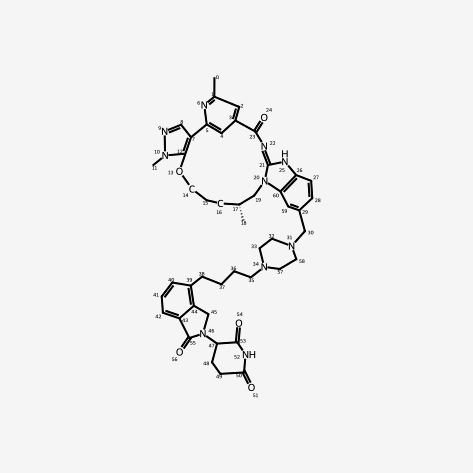 Cc1cc2cc(n1)-c1cnn(C)c1OCCC[C@@H](C)CN1/C(=N\C2=O)Nc2ccc(CN3CCN(CCCCc4cccc5c4CN(C4CCC(=O)NC4=O)C5=O)CC3)cc21